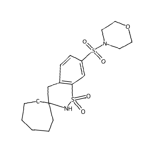 O=S1(=O)NC2(CCCCCC2)Cc2ccc(S(=O)(=O)N3CCOCC3)cc21